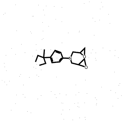 CCC(C)(CC)c1ccc(N(CC2CO2)CC2CO2)cc1